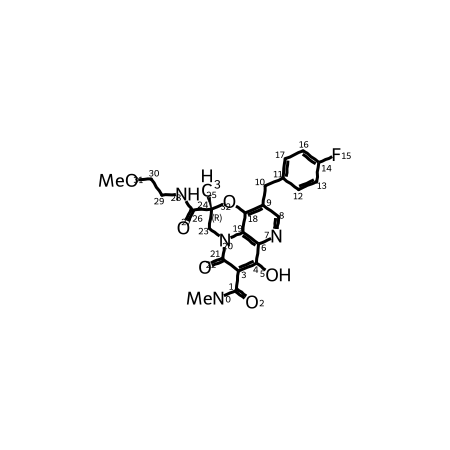 CNC(=O)c1c(O)c2ncc(Cc3ccc(F)cc3)c3c2n(c1=O)C[C@](C)(C(=O)NCCOC)O3